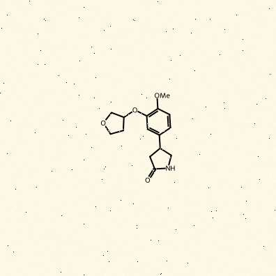 COc1ccc(C2CNC(=O)C2)cc1OC1CCOC1